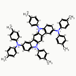 Cc1ccc(N(c2ccc(C)cc2)c2ccc3c(c2)c2cc4c(cc2n3-c2ccc(C)cc2)c2cc(N(c3ccc(C)cc3)c3ccc(C)cc3)ccc2n4-c2ccc(C)cc2)cc1